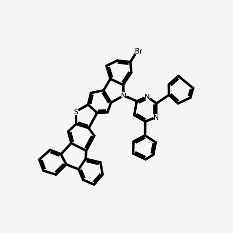 Brc1ccc2c3cc4sc5cc6c7ccccc7c7ccccc7c6cc5c4cc3n(-c3cc(-c4ccccc4)nc(-c4ccccc4)n3)c2c1